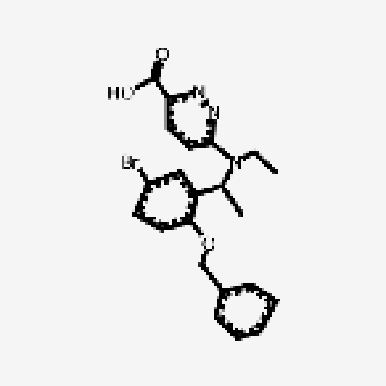 CCN(c1ccc(C(=O)O)nn1)C(C)c1cc(Br)ccc1OCc1ccccc1